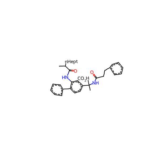 CCCCCCCC(C)C(=O)Nc1cc(C(C)(NC(=O)CCc2ccccc2)C(=O)O)ccc1-c1ccccc1